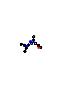 c1ccc(-c2ccc(N(c3ccc(-c4ccc5c(c4)oc4ccccc45)cc3)c3ccc(-c4ccc(-n5c6ccc(-c7ccccc7)cc6c6cc(-c7ccccc7)ccc65)cc4)c4nsnc34)cc2)cc1